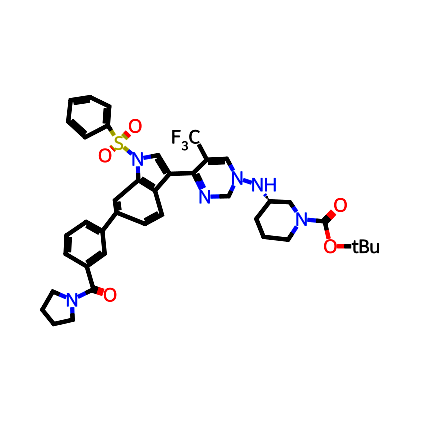 CC(C)(C)OC(=O)N1CCC[C@H](NN2C=C(C(F)(F)F)C(c3cn(S(=O)(=O)c4ccccc4)c4cc(-c5cccc(C(=O)N6CCCC6)c5)ccc34)=NC2)C1